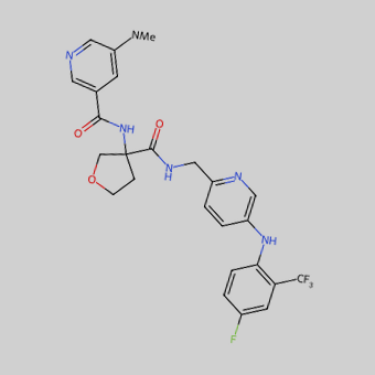 CNc1cncc(C(=O)NC2(C(=O)NCc3ccc(Nc4ccc(F)cc4C(F)(F)F)cn3)CCOC2)c1